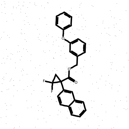 O=C(OCc1cccc(Oc2ccccc2)c1)C1(c2ccc3ccccc3c2)CC1(F)F